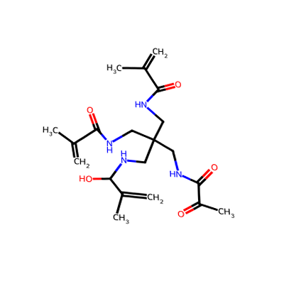 C=C(C)C(=O)NCC(CNC(=O)C(=C)C)(CNC(=O)C(C)=O)CNC(O)C(=C)C